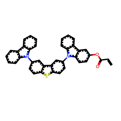 C=CC(=O)Oc1ccc2c(c1)c1ccccc1n2-c1ccc2sc3ccc(-n4c5ccccc5c5ccccc54)cc3c2c1